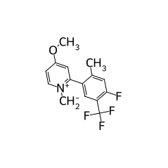 [CH2-][n+]1ccc(OC)cc1-c1cc(C(F)(F)F)c(F)cc1C